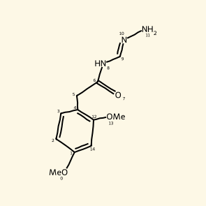 COc1ccc(CC(=O)NC=NN)c(OC)c1